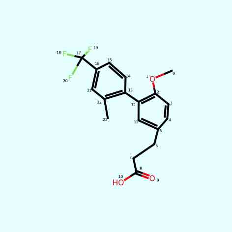 COc1ccc(CCC(=O)O)cc1-c1ccc(C(F)(F)F)cc1C